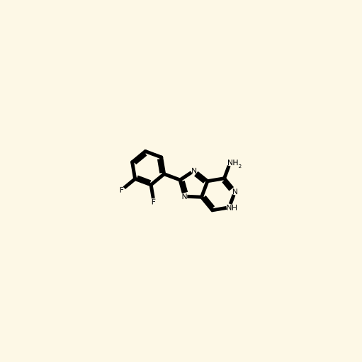 Nc1n[nH]cc2nc(-c3cccc(F)c3F)nc1-2